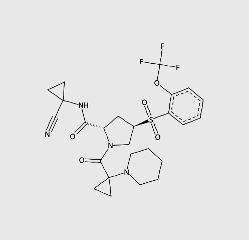 N#CC1(NC(=O)[C@@H]2C[C@@H](S(=O)(=O)c3ccccc3OC(F)(F)F)CN2C(=O)C2(N3CCCCC3)CC2)CC1